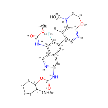 CC(=O)NC1CCCCC1OC(=O)Nc1cc2cc(-c3cnc4c(c3C)N(C(=O)O)CCO4)c(F)c(NC(=O)OC(C)(C)C)c2cn1